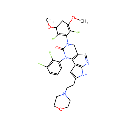 COC1=C(F)C(N2Cc3cnc4[nH]c(CCN5CCOCC5)cc4c3N(c3cccc(F)c3F)C2=O)=C(F)C(OC)C1